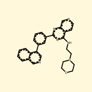 c1cc(-c2nc(NCCN3CCOCC3)c3ccncc3n2)cc(-c2cncc3ccccc23)c1